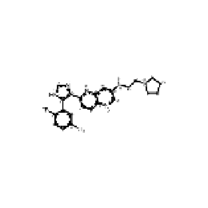 Fc1ccc(Cl)cc1-c1[nH]cnc1-c1ccc2ncc(NCCN3CCCC3)cc2n1